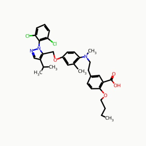 CCCCOc1ccc(CCN(C)c2ccc(OCc3c(C(C)C)cnn3-c3c(Cl)cccc3Cl)cc2C)cc1C(=O)O